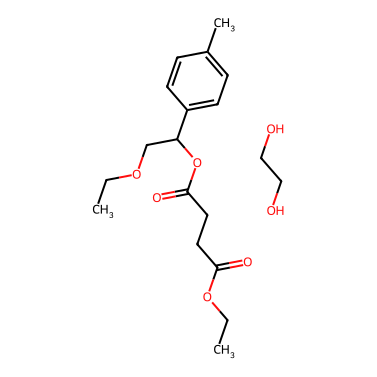 CCOCC(OC(=O)CCC(=O)OCC)c1ccc(C)cc1.OCCO